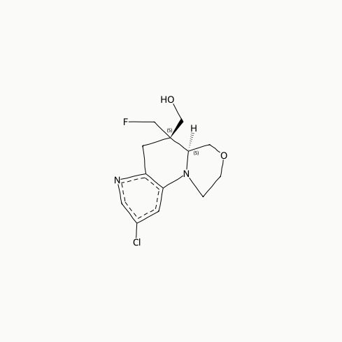 OC[C@]1(CF)Cc2ncc(Cl)cc2N2CCOC[C@@H]21